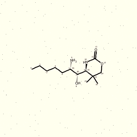 CCCCC[C@H](N)[C@@H](O)[C@H]1NC(=O)OCC1(C)C